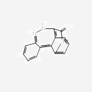 O=c1[nH]c2cccc3c1NN=c1ccccc1=c23